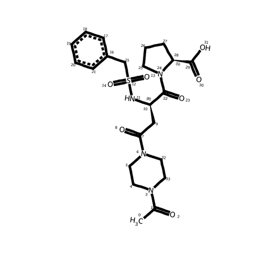 CC(=O)N1CCN(C(=O)C[C@@H](NS(=O)(=O)Cc2ccccc2)C(=O)N2CCC[C@H]2C(=O)O)CC1